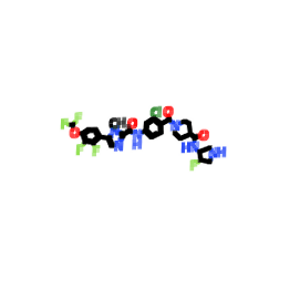 Cn1c(-c2ccc(OC(F)F)c(F)c2F)cnc1C(=O)Nc1ccc(C(=O)N2CCC(C(=O)N[C@H]3CNC[C@H]3F)CC2)c(Cl)c1